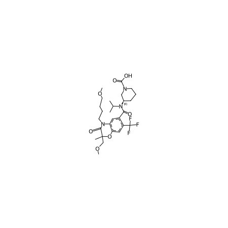 COCCCCN1C(=O)C(C)(COC)Oc2cc(C(F)(F)F)c(C(=O)N(C(C)C)[C@@H]3CCCN(C(=O)O)C3)cc21